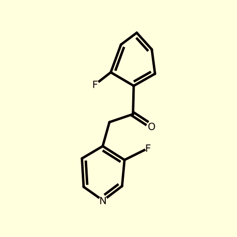 O=C(Cc1ccncc1F)c1ccccc1F